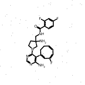 Nc1ncnc(N2CCC(N)(CNC(=O)c3ccc(F)cc3F)C2)c1/C1=C/C(F)=C\C=C/CC1